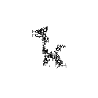 COc1ccc(CC(N)C(=O)N[C@H]2[C@@H](O)[C@H](n3cnc4c(N(C)C)ncnc43)O[C@@H]2COP(=O)(O)O[C@H]2C[C@H](n3ccc(N)nc3=O)O[C@@H]2COP(=O)(O)OC(CO)CCCCCNC(=O)Nc2ccc(-c3c4ccc(=O)cc-4oc4cc(O)ccc34)c(C(=O)O)c2)cc1